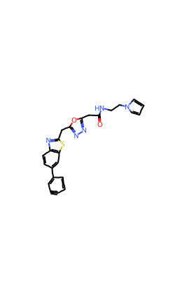 O=C(Cc1nnc(Cc2nc3ccc(-c4cc#ccc4)cc3s2)o1)NCCn1cccc1